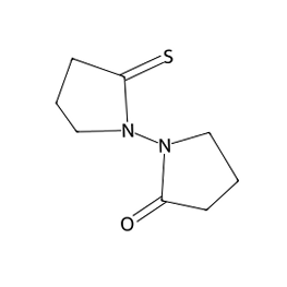 O=C1CCCN1N1CCCC1=S